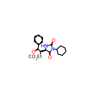 CCOC(=O)C(C(=O)c1ccccc1)=C1NC(=O)N(C2CCCCC2)C1=O